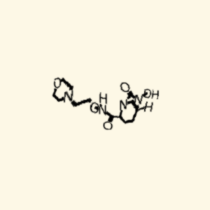 O=C(NOCCN1CCOCC1)[C@@H]1CC[C@@H]2CN1C(=O)N2O